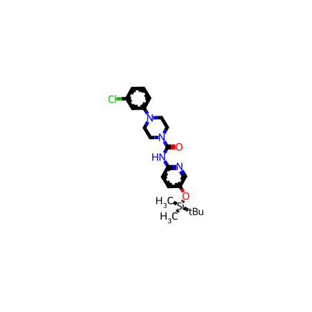 CC(C)(C)[Si](C)(C)Oc1ccc(NC(=O)N2CCN(c3cccc(Cl)c3)CC2)nc1